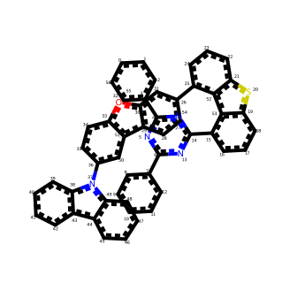 c1ccc(-c2nc(-c3ccccc3)nc(-c3cccc4sc5cccc(-c6ccc7c(c6)oc6ccc(-n8c9ccccc9c9ccccc98)cc67)c5c34)n2)cc1